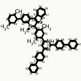 CC1C=CC(C)C(c2ccc3c(c2)N(C)C(C2=CC(C)C(C4=CC(c5ccc(-c6ccccc6)cc5)=NC(c5ccc(-c6ccccc6)cc5)N4)CC2C)c2sc4ccccc4c2-3)C1